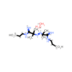 CC(C)(N=NC(C)(C)C(=N)NCCC(=O)O)C(=N)NCCC(=O)O.O.O